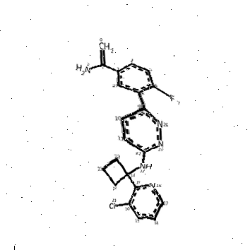 C=C(N)c1ccc(F)c(-c2ccc(NC3(c4ncccc4Cl)CCC3)nn2)c1